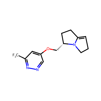 FC(F)(F)c1cc(OC[C@@H]2CCC3=CCCN32)cnn1